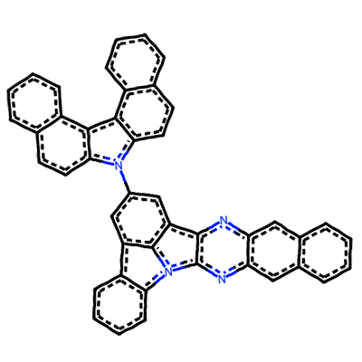 c1ccc2cc3nc4c(nc3cc2c1)c1cc(-n2c3ccc5ccccc5c3c3c5ccccc5ccc32)cc2c3ccccc3n4c21